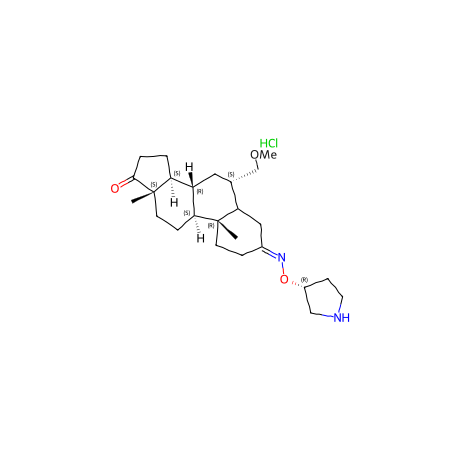 COC[C@H]1C[C@@H]2[C@H](CC[C@]3(C)C(=O)CC[C@@H]23)[C@@]2(C)CCC(=NO[C@@H]3CCNC3)CC12.Cl